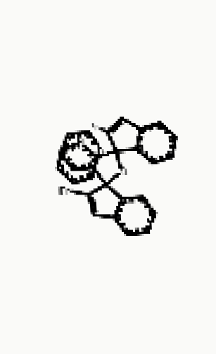 CC(C)C1=Cc2ccccc2[C]1([Zr][C]1(c2ccccn2)C(C(C)C)=Cc2ccccc21)c1ccccn1